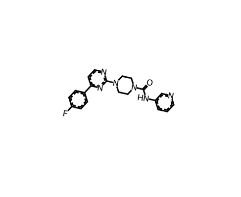 O=C(Nc1cccnc1)N1CCN(c2nccc(-c3ccc(F)cc3)n2)CC1